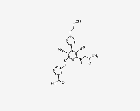 CN(CC(N)=O)c1nc(SCc2cccc(C(=O)O)c2)c(C#N)c(-c2ccc(CCCO)cc2)c1C#N